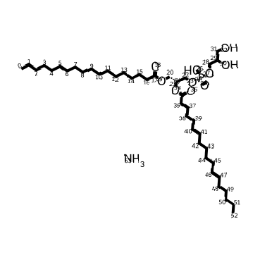 CCCCCCCCCCCCCCCCCC(=O)OC[C@H](COP(=O)(O)OCC(O)CO)OC(=O)CCCCCCCCCCCCCCCCC.N